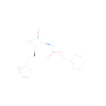 O=C(N[C@@H]1C(=O)N[C@@H]1CCc1ccco1)OCc1ccccc1